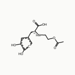 CC(=O)OCCN[C@@H](Cc1ccc(O)c(O)c1)C(=O)O